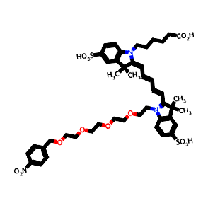 CC1(C)C(/C=C/C=C/C=C2/N(CCCCCC(=O)O)c3ccc(S(=O)(=O)O)cc3C2(C)C)=[N+](CCOCCOCCOCCOCc2ccc([N+](=O)[O-])cc2)c2ccc(S(=O)(=O)O)cc21